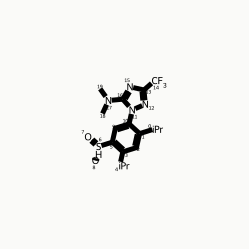 CC(C)c1cc(C(C)C)c([SH](=O)=O)cc1-n1nc(C(F)(F)F)nc1N(C)C